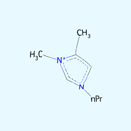 CCCn1cc(C)[n+](C)c1